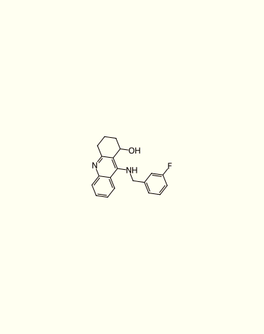 OC1CCCc2nc3ccccc3c(NCc3cccc(F)c3)c21